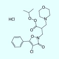 CC(C)OOC(=O)C(CN1CCOCC1)Cn1oc(-c2ccccc2)c(Cl)c1=O.Cl